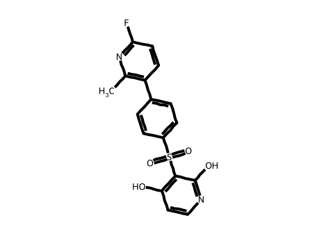 Cc1nc(F)ccc1-c1ccc(S(=O)(=O)c2c(O)ccnc2O)cc1